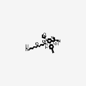 C#Cc1cccc(Nc2c(C#N)cnc3cc(O[C@H]4CCOC4)c(NC(=O)/C=C/CC(=O)CCCCCNC)cc23)c1